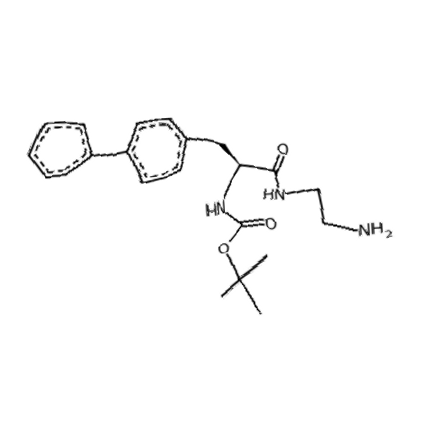 CC(C)(C)OC(=O)N[C@@H](Cc1ccc(-c2ccccc2)cc1)C(=O)NCCN